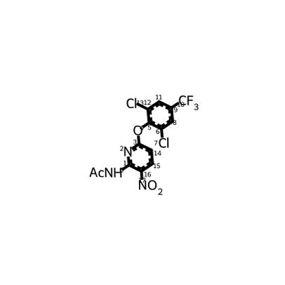 CC(=O)Nc1nc(Oc2c(Cl)cc(C(F)(F)F)cc2Cl)ccc1[N+](=O)[O-]